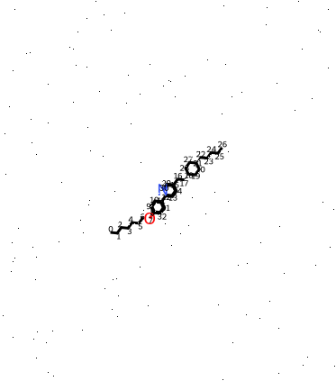 CCCCCCCOc1ccc(-c2ccc(CC[C@H]3CC[C@H](CCCCC)CC3)cn2)cc1